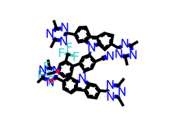 Cc1nc(C)nc(-c2ccc3c4ccc(-c5nc(C)nc(C)n5)cc4n(-c4cc(-c5ccc(C(F)(F)F)cc5C(F)(F)F)c(-n5c6cc(-c7nc(C)nc(C)n7)ccc6c6ccc(-c7nc(C)nc(C)n7)cc65)cc4C#N)c3c2)n1